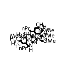 CCCC(Nc1nc(NC(CCC)C2CC(C)(C)N(OC)C(C)(C)C2)nc(N(COC)COC)n1)C1CC(C)(C)N(OC)C(C)(C)C1